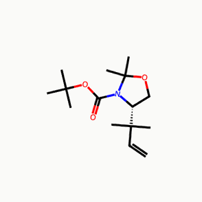 C=CC(C)(C)[C@H]1COC(C)(C)N1C(=O)OC(C)(C)C